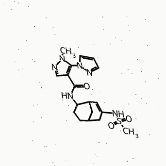 Cn1ncc(C(=O)NC2CCC3CC(NS(C)(=O)=O)=CC2C3)c1-n1cccn1